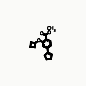 COC(=O)c1ccc(C2=CCCC2)cc1OC1CCC1